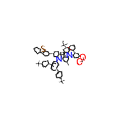 Cc1cc2c3c(c1)N(c1cc4c(cc1-c1ccccc1)OCCO4)c1ccc(C(C)(C)C)cc1B3c1ccc(-c3ccc4c(c3)sc3ccccc34)cc1N2c1cc(-c2ccc(C(C)(C)C)cc2)cc(-c2ccc(C(C)(C)C)cc2)c1